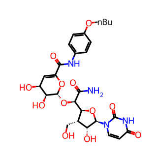 CCCCOc1ccc(NC(=O)C2=C[C@H](O)[C@H](O)[C@@H](O[C@@H](C(N)=O)[C@H]3O[C@@H](n4ccc(=O)[nH]c4=O)[C@H](O)[C@@H]3CO)O2)cc1